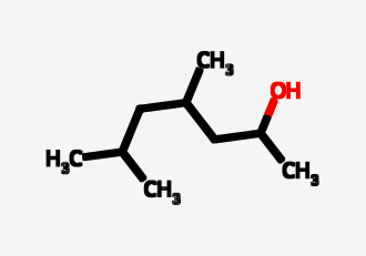 CC(C)CC(C)CC(C)O